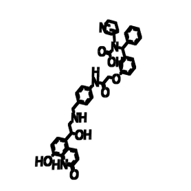 O=C(COc1cccc([C@H](c2ccccc2)N(C(=O)O)C2CN3CCC2CC3)c1)Nc1ccc(CNCC(O)c2ccc(O)c3[nH]c(=O)ccc23)cc1